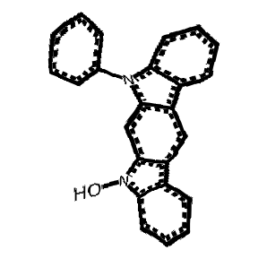 On1c2ccccc2c2cc3c4ccccc4n(-c4ccccc4)c3cc21